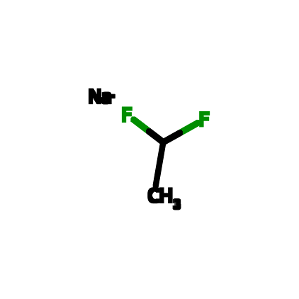 CC(F)F.[Na]